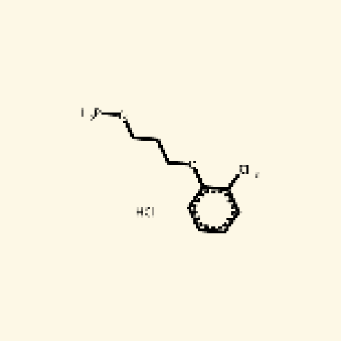 Cc1ccccc1OCCCOP.Cl